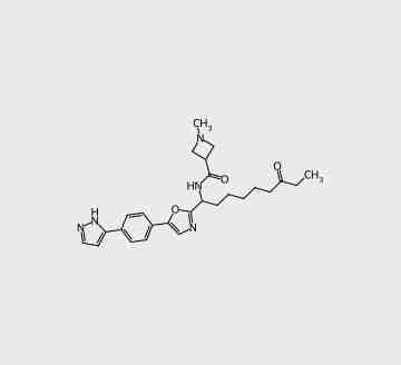 CCC(=O)CCCCCC(NC(=O)C1CN(C)C1)c1ncc(-c2ccc(-c3ccn[nH]3)cc2)o1